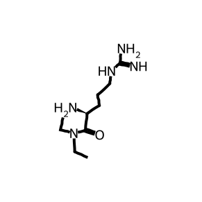 CCN(CC)C(=O)[C@@H](N)CCCNC(=N)N